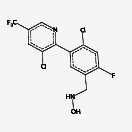 ONCc1cc(-c2ncc(C(F)(F)F)cc2Cl)c(Cl)cc1F